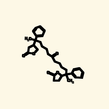 CC(CCCCC(=O)CCCCC(C)(c1ccccc1)C1CCC(=O)O1)(c1ccccc1)C1COC(=O)C1